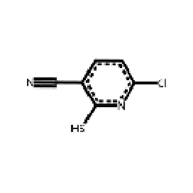 N#Cc1ccc(Cl)nc1S